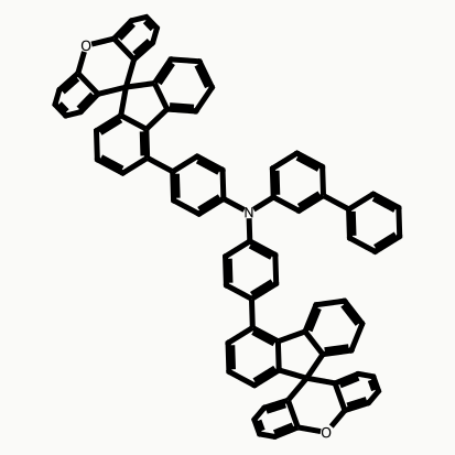 c1ccc(-c2cccc(N(c3ccc(-c4cccc5c4-c4ccccc4C54c5ccccc5Oc5ccccc54)cc3)c3ccc(-c4cccc5c4-c4ccccc4C54c5ccccc5Oc5ccccc54)cc3)c2)cc1